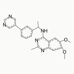 COc1cc2nc(C)nc(NC(C)c3cccc(-c4cncnc4)c3)c2cc1OC